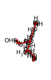 CC1(C)CC(=O)C(=C(CCCCC(=O)NCCCC[C@H](NC(=O)CCC(=O)NCCCCCC(=O)N2CCN(Cc3cccc(C=O)n3)CC2)C(=O)NCCCOCCOCCOCCCNC(=O)CCCC[C@@H]2SC[C@@H]3NC(=O)N[C@@H]32)NCCOCCOCCNC(=O)c2nnn(C3C=CC=CC3)n2)C(=O)C1